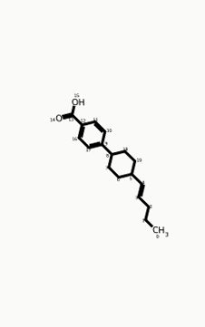 CCCC=CC1CCC(c2ccc(C(=O)O)cc2)CC1